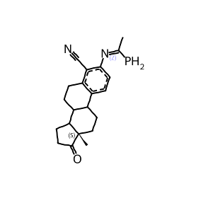 C/C(P)=N/c1ccc2c(c1C#N)CCC1C2CC[C@]2(C)C(=O)CCC12